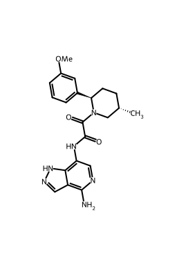 COc1cccc([C@H]2CC[C@H](C)CN2C(=O)C(=O)Nc2cnc(N)c3cn[nH]c23)c1